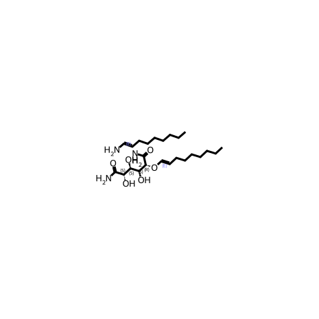 CCCCCCC/C=C/N.CCCCCCC/C=C/O[C@@H](C(N)=O)[C@@H](O)[C@H](O)[C@H](O)C(N)=O